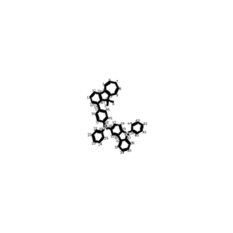 CC1(C)C2=C(C=CCC=C2)c2cccc(-c3ccc(N(c4ccccc4)c4ccc5c(c4)c4ccccc4n5-c4ccccc4)cc3)c21